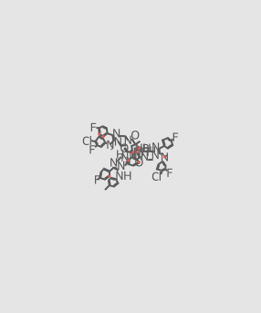 CCCCNC(CC(C)(N[C@H](N)C(=O)N1CCn2c(nc(-c3ccc(F)cc3)c2N(C)c2ccc(Cl)c(F)c2)C1)C(=O)N1CCn2c(nc(-c3ccc(F)cc3)c2N(C)c2ccc(Cl)c(F)c2)C1)(C(=O)N1CCn2c(nc(-c3ccc(F)cc3)c2Nc2ccc(C)cc2)C1)c1ccccc1